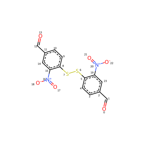 O=Cc1ccc(SSc2ccc(C=O)cc2[N+](=O)[O-])c([N+](=O)[O-])c1